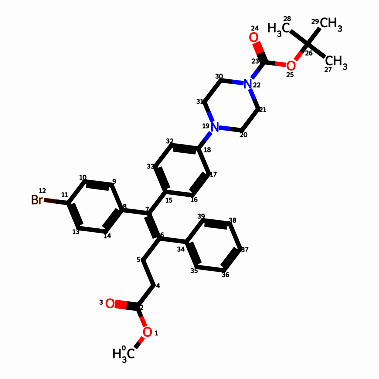 COC(=O)CC/C(=C(\c1ccc(Br)cc1)c1ccc(N2CCN(C(=O)OC(C)(C)C)CC2)cc1)c1ccccc1